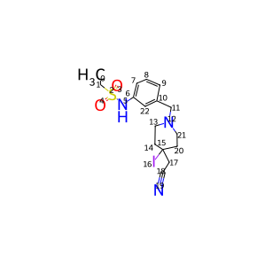 CCS(=O)(=O)Nc1cccc(CN2CCC(I)(CC#N)CC2)c1